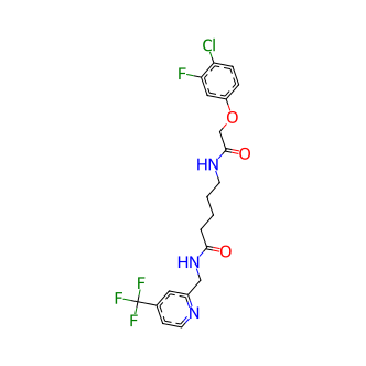 O=C(CCCCNC(=O)COc1ccc(Cl)c(F)c1)NCc1cc(C(F)(F)F)ccn1